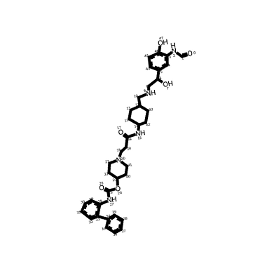 O=CNc1cc(C(O)CNCC2CCC(NC(=O)CCN3CCC(OC(=O)Nc4ccccc4-c4ccccc4)CC3)CC2)ccc1O